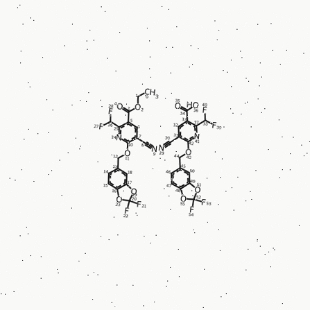 CCOC(=O)c1cc(C#N)c(OCc2ccc3c(c2)OC(F)(F)O3)nc1C(F)F.N#Cc1cc(C(=O)O)c(C(F)F)nc1OCc1ccc2c(c1)OC(F)(F)O2